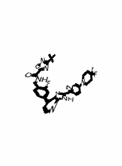 CC(C)(C)c1noc(C(=O)NCc2ccc(-c3ccnc4[nH]c(-c5ccc(N6CCC(F)(F)CC6)cn5)nc34)cc2F)n1